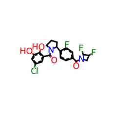 O=C(c1cc(Cl)cc(O)c1O)N1CCCC1c1ccc(C(=O)N2CC(F)C2F)cc1F